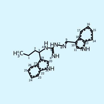 CCCC(NC(=N)N/N=C/c1c[nH]c2ccccc12)c1c[nH]c2ccccc12